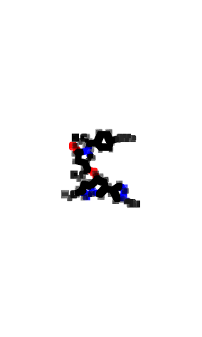 COc1ccc([C@@H](C)N2C[C@H]([C@@H](C)Oc3cc(-c4cnn(C(C)(C)C)c4)cn4nc(C)cc34)CC2=O)cc1